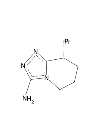 CC(C)C1CCCn2c(N)nnc21